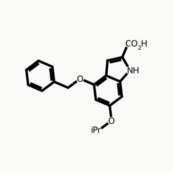 CC(C)Oc1cc(OCc2ccccc2)c2cc(C(=O)O)[nH]c2c1